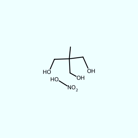 CC(CO)(CO)CO.O=[N+]([O-])O